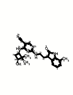 Cc1cccc2c1NC(=O)C2CCNc1ncc(C#N)c(N[C@@H]2C[C@H](O)C2(C)C)n1